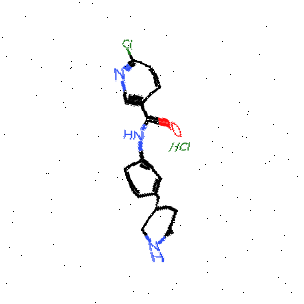 Cl.O=C(Nc1ccc([C@H]2CCNC2)cc1)c1ccc(Cl)nc1